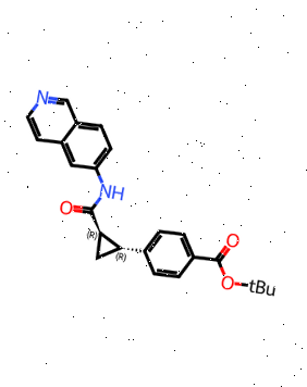 CC(C)(C)OC(=O)c1ccc([C@@H]2C[C@H]2C(=O)Nc2ccc3cnccc3c2)cc1